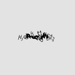 COc1nccc(-c2cc3cnc(NC(=O)c4cnn(C(C)C)c4)cc3[nH]2)n1